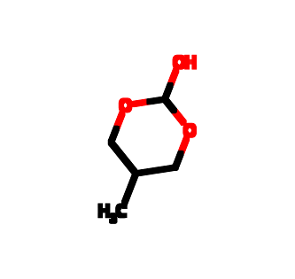 CC1COC(O)OC1